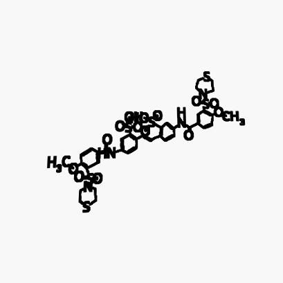 COc1ccc(C(=O)Nc2ccc(/C=C/c3ccc(NC(=O)c4ccc(OC)c(S(=O)(=O)N5CCSCC5)c4)cc3S(=O)(=O)O)c(S(=O)(=O)O)c2)cc1S(=O)(=O)N1CCSCC1